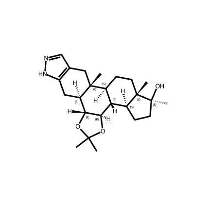 CC1(C)O[C@H]2[C@H](O1)[C@H]1Cc3[nH]ncc3C[C@]1(C)[C@H]1CC[C@@]3(C)[C@@H](CC[C@]3(C)O)[C@H]21